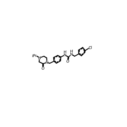 CC(C)N1CCN(Cc2ccc(NC(=O)NCc3ccc(Cl)cc3)cc2)C(=O)C1